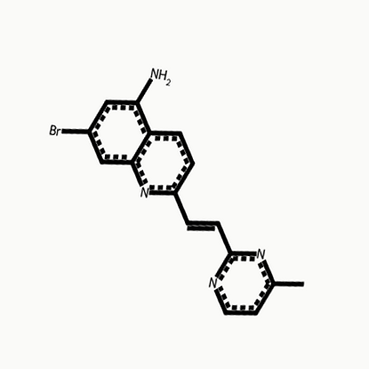 Cc1ccnc(/C=C/c2ccc3c(N)cc(Br)cc3n2)n1